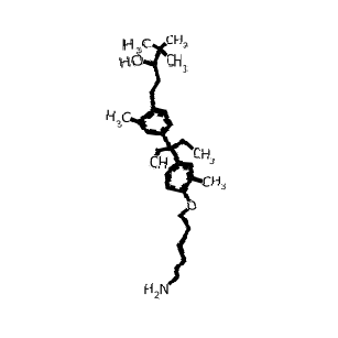 CCC(CC)(c1ccc(CCC(O)C(C)(C)C)c(C)c1)c1ccc(OCCCCCCN)c(C)c1